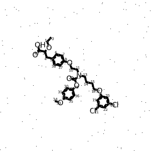 CCOC(Cc1ccc(OCCN(CCCCOc2cc(Cl)cc(Cl)c2)C(=O)Oc2ccc(OC)cc2)cc1)C(=O)O